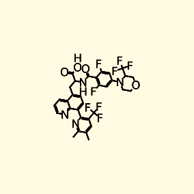 Cc1cc(C(F)(F)F)c(-c2ccc(CC(NC(=O)c3c(F)cc(N4CCOCC4C(F)(F)F)cc3F)C(=O)O)c3cccnc23)nc1C